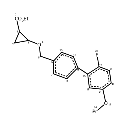 CCOC(=O)C1CC1OCc1ccc(-c2cc(OC(C)C)ccc2F)cc1